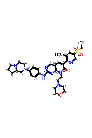 Cc1cc(S(=O)(=O)CC(F)(F)F)cnc1-c1cc2cnc(Nc3ccc(N4CCN5CCCC5C4)cc3)nc2n(CCN2CCOCC2)c1=O